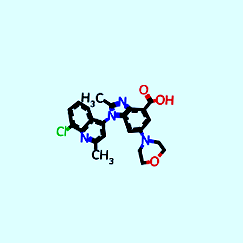 Cc1cc(-n2c(C)nc3c(C(=O)O)cc(N4CCOCC4)cc32)c2cccc(Cl)c2n1